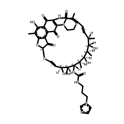 CO[C@H]1/C=C/O[C@@]2(C)Oc3c(C)c(O)c4c(c3C2=O)C(=O)C(N2CCOCC2)=C(NC(=O)/C(C)=C\C=C\[C@H](C)[C@H](O)[C@@H](C)[C@@H](O)[C@@H](C)[C@H](OC(=O)NCCCn2ccnc2)[C@@H]1C)C4=O